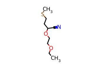 CCOCCOC(C#N)CCSC